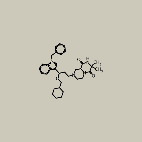 CC1(C)NC(=O)C2CN(CCC(OCC3CCCCC3)c3cn(Cc4ccccc4)c4ccccc34)CCN2C1=O